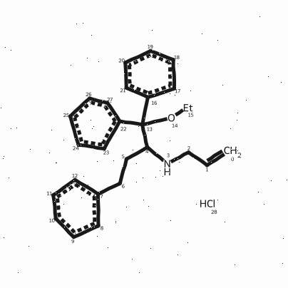 C=CCNC(CCc1ccccc1)C(OCC)(c1ccccc1)c1ccccc1.Cl